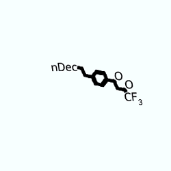 CCCCCCCCCCCCc1ccc(C(=O)CC(=O)C(F)(F)F)cc1